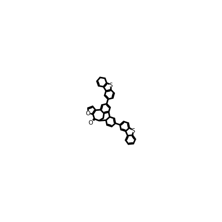 O=C1c2occc2-c2cc(-c3ccc4sc5c(c4c3)C=CCC5)cc3c2CC1C1C=CC(c2ccc4sc5ccccc5c4c2)=CC31